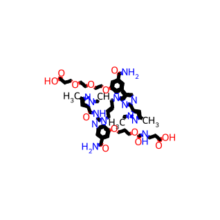 CCn1nc(C)cc1C(=O)Nc1nc2cc(C(N)=O)cc(OCCCOC(=O)NCCC(=O)O)c2n1C/C=C/Cn1c2nc(-c3cc(C)nn3CC)ncc2c2cc(C(N)=O)cc(OCCOCCOCCC(=O)O)c21